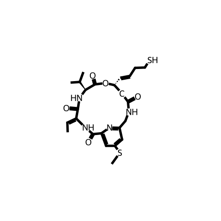 C/C=C1\NC(=O)c2cc(SC)cc(n2)CNC(=O)C[C@@H](/C=C/CCS)OC(=O)[C@H](C(C)C)NC1=O